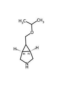 CC(C)OCC1[C@H]2CNC[C@@H]12